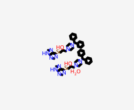 O.OC(CSc1ncnc2[nH]cnc12)CN1CCN(C(c2ccccc2)c2ccccc2)CC1.OC(CSc1ncnc2[nH]cnc12)CN1CCN(C(c2ccccc2)c2ccccc2)CC1